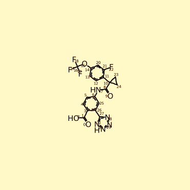 O=C(O)c1ccc(NC(=O)C2(c3ccc(OC(F)(F)F)cc3F)CC2)cc1-c1nnn[nH]1